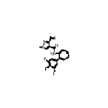 Cn1cc(C(=O)NC2=CC=CCC=C2c2cc(F)c(F)c(F)c2)c(C(F)F)n1